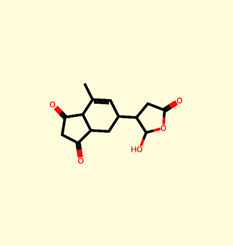 CC1=CC(C2CC(=O)OC2O)CC2C(=O)CC(=O)C12